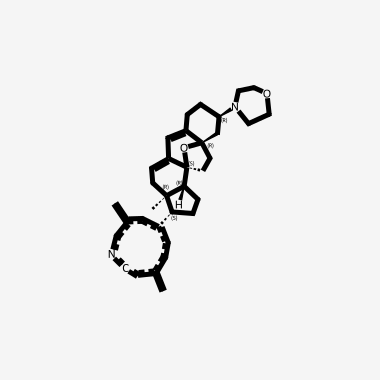 C=c1ccncc(=C)cc([C@H]2CC[C@@H]3[C@]2(C)CC=C2C=C4CC[C@@H](N5CCOCC5)C[C@]45CC[C@@]23O5)cc1